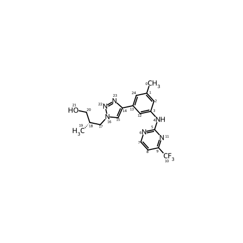 Cc1cc(Nc2nccc(C(F)(F)F)n2)cc(-c2cn(C[C@H](C)CO)nn2)c1